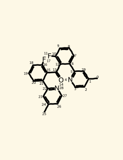 Cc1ccnc(-c2cccc(F)c2C(=O)c2c(F)cccc2-c2cc(C)ccn2)c1